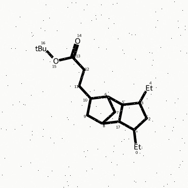 CCC1CC(CC)C2C3CC(CC3CCC(=O)OC(C)(C)C)C12